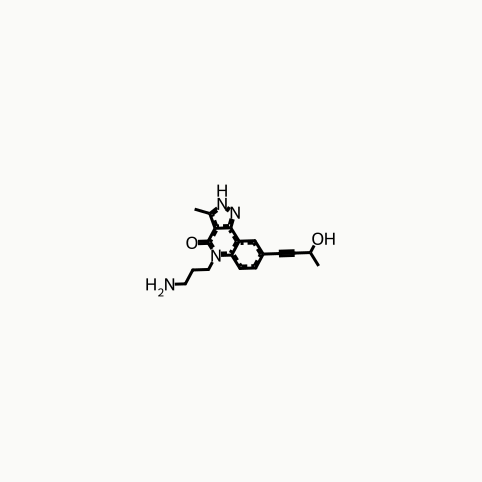 Cc1[nH]nc2c1c(=O)n(CCCN)c1ccc(C#CC(C)O)cc21